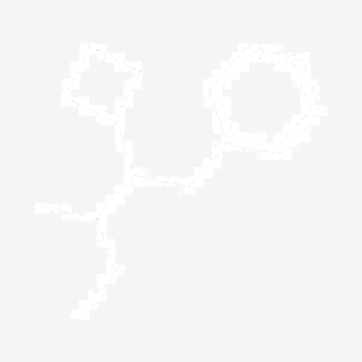 CCC(C)[C](Cc1ccccc1)C1CCC1